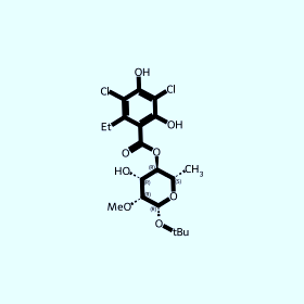 CCc1c(Cl)c(O)c(Cl)c(O)c1C(=O)O[C@@H]1[C@@H](O)[C@@H](OC)[C@@H](OC(C)(C)C)O[C@H]1C